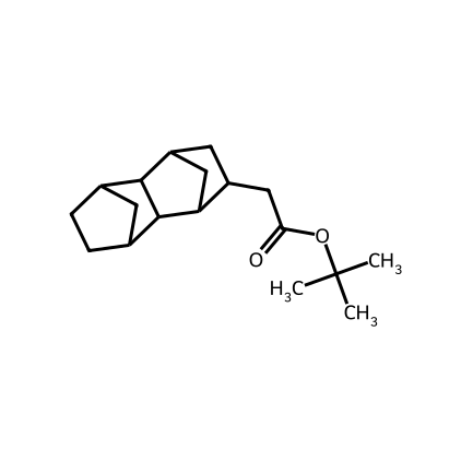 CC(C)(C)OC(=O)CC1CC2CC1C1C3CCC(C3)C21